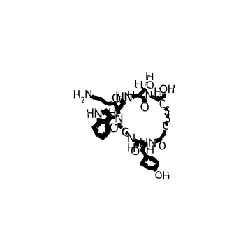 NCCCC[C@H]1C(=O)N[C@@H]2C(=O)N([C@H](CO)CSSCCC(=O)N[C@@H](Cc3ccc(O)cc3)C(=O)NCC(=O)N1c1c[nH]c3ccccc13)[C@H]2O